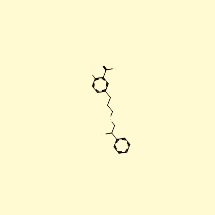 NC(=O)c1cc(CCCNCC(O)c2ccccc2)ccc1O